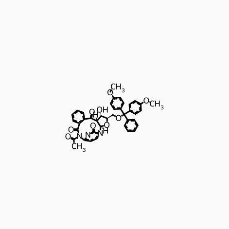 COc1ccc(C(OC[C@H]2O[C@@H]3[C@H](C(=O)c4ccccc4C(=O)N(C(C)=O)c4ccn3c(=O)n4)[C@@H]2O)(c2ccccc2)c2ccc(OC)cc2)cc1